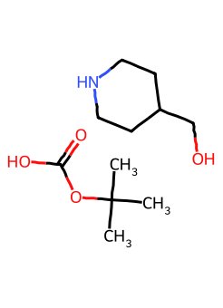 CC(C)(C)OC(=O)O.OCC1CCNCC1